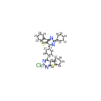 Clc1nc(-c2ccc(-c3nc(-c4ccccc4)nc4c3sc3ccccc34)cc2)c2c(n1)sc1ccccc12